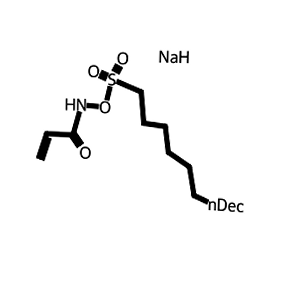 C=CC(=O)NOS(=O)(=O)CCCCCCCCCCCCCCCC.[NaH]